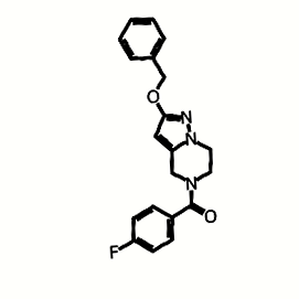 O=C(c1ccc(F)cc1)N1CCn2nc(OCc3ccccc3)cc2C1